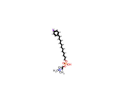 C[N+](C)(C)CCOP(=O)(O)OCCCCCCCCCCCCc1ccc(I)cc1